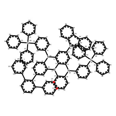 c1ccc(-c2cccc(-c3ccccc3)c2-c2ccc3c(c2)B2c4ccccc4N(c4cccc([Si](c5ccccc5)(c5ccccc5)c5ccccc5)c4)c4cc(-n5c6ccccc6c6ccccc65)cc(c42)N3c2cccc([Si](c3ccccc3)(c3ccccc3)c3ccccc3)c2)cc1